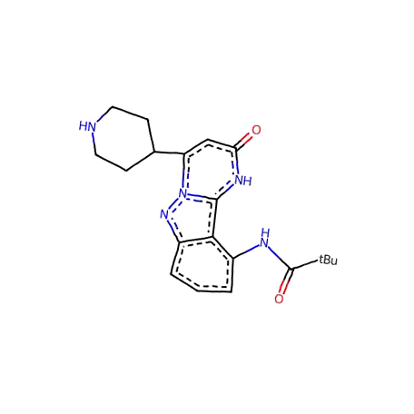 CC(C)(C)C(=O)Nc1cccc2nn3c(C4CCNCC4)cc(=O)[nH]c3c12